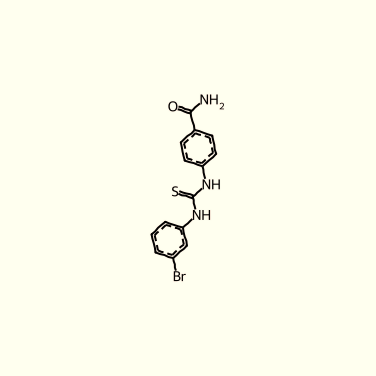 NC(=O)c1ccc(NC(=S)Nc2cccc(Br)c2)cc1